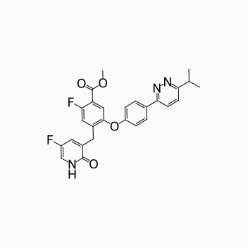 COC(=O)c1cc(Oc2ccc(-c3ccc(C(C)C)nn3)cc2)c(Cc2cc(F)c[nH]c2=O)cc1F